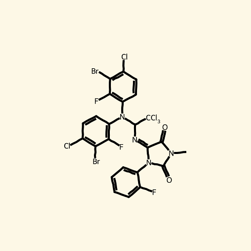 CN1C(=O)C(=NC(N(c2ccc(Cl)c(Br)c2F)c2ccc(Cl)c(Br)c2F)C(Cl)(Cl)Cl)N(c2ccccc2F)C1=O